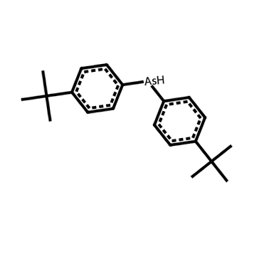 CC(C)(C)c1ccc([AsH]c2ccc(C(C)(C)C)cc2)cc1